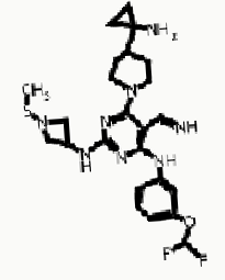 CSN1CC(Nc2nc(Nc3cccc(OC(F)F)c3)c(C=N)c(N3CCC(C4(N)CC4)CC3)n2)C1